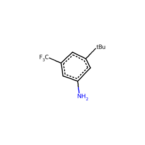 CC(C)(C)c1cc(N)cc(C(F)(F)F)c1